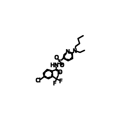 CCCCN(CC)c1ccc(S(=O)(=O)NC(=O)c2ccc(Cl)cc2C(F)(F)F)cn1